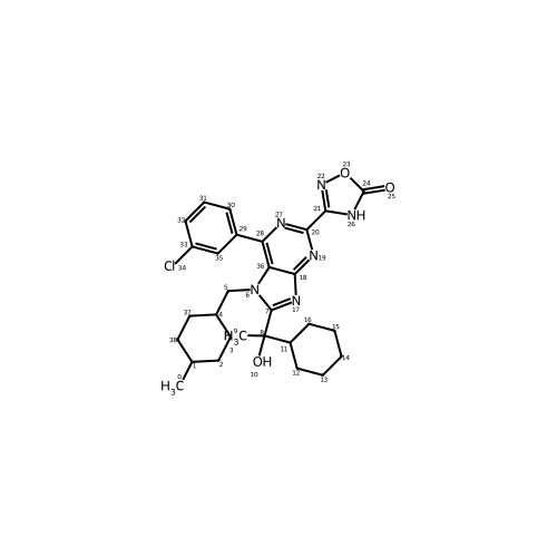 CC1CCC(Cn2c(C(C)(O)C3CCCCC3)nc3nc(-c4noc(=O)[nH]4)nc(-c4cccc(Cl)c4)c32)CC1